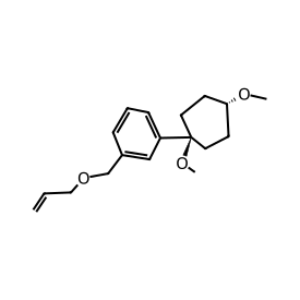 C=CCOCc1cccc([C@]2(OC)CC[C@H](OC)CC2)c1